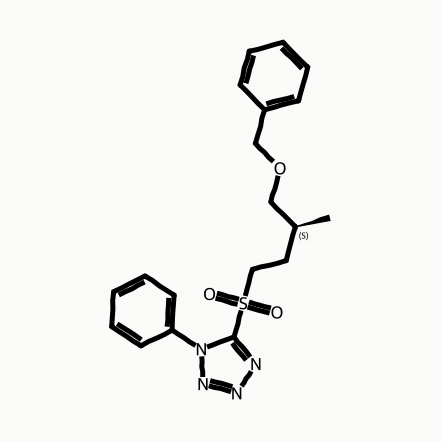 C[C@@H](CCS(=O)(=O)c1nnnn1-c1ccccc1)COCc1ccccc1